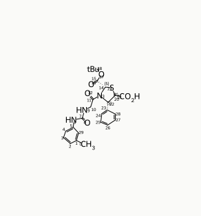 Cc1cccc(NC(=O)NCC(=O)N2[C@H](C(=O)OC(C)(C)C)S[C@@H](C(=O)O)[C@@H]2c2ccccc2)c1